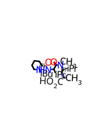 CCC(C)N1CCCC[C@@H]1C(=O)NC(C(=O)N(C)[C@H](/C=C(\C)C(=O)O)C(C)C)C(C)C